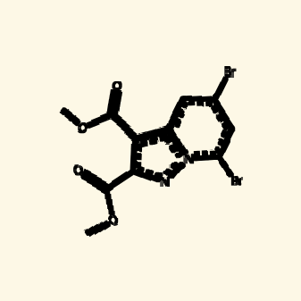 COC(=O)c1nn2c(Br)cc(Br)cc2c1C(=O)OC